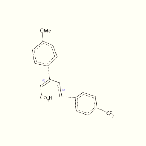 COc1ccc(C(/C=C/c2ccc(C(F)(F)F)cc2)=C/C(=O)O)cc1